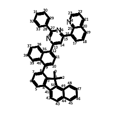 CC1(C)c2c(cccc2-c2ccc(-c3cc(-c4cccc5cccnc45)nc(-c4ccccc4)n3)c3ccccc23)-c2ccc3ccccc3c21